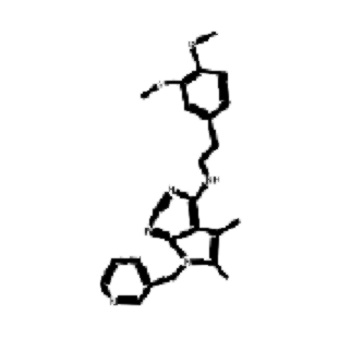 COc1ccc(CCNc2ncnc3c2c(C)c(C)n3Cc2cccnc2)cc1OC